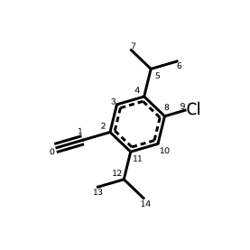 C#Cc1cc(C(C)C)c(Cl)cc1C(C)C